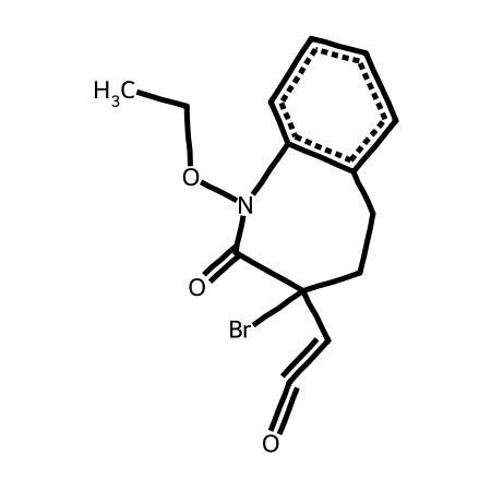 CCON1C(=O)C(Br)(C=C=O)CCc2ccccc21